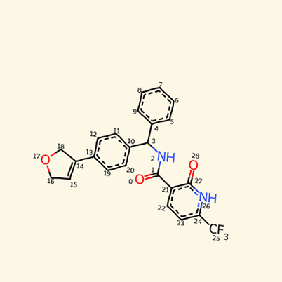 O=C(NC(c1ccccc1)c1ccc(C2=CCOC2)cc1)c1ccc(C(F)(F)F)[nH]c1=O